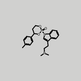 Cc1ccc(C2CCOP(=O)(n3cc(CCN(C)C)c4ccccc43)O2)cc1